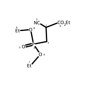 CCOC(=O)C(C#N)CP(=O)(OCC)OCC